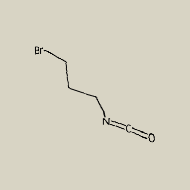 O=C=NCCCBr